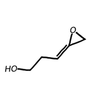 OCCC=C1CO1